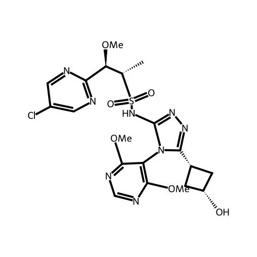 COc1ncnc(OC)c1-n1c(NS(=O)(=O)[C@@H](C)[C@H](OC)c2ncc(Cl)cn2)nnc1[C@H]1C[C@@H](O)C1